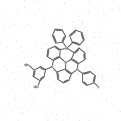 CC(C)(C)c1cc(N2c3cccc4c3B3c5c(cccc5[Si](c5ccccc5)(c5ccccc5)c5cccc2c53)N4c2ccc(F)cc2)cc(C(C)(C)C)c1